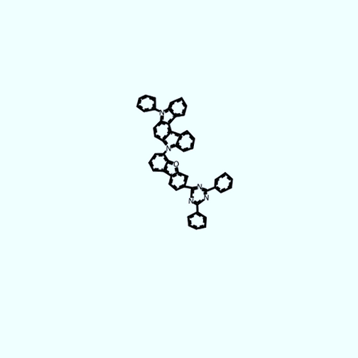 c1ccc(-c2nc(-c3ccccc3)nc(-c3ccc4c(c3)oc3c(-n5c6ccccc6c6c7c8ccccc8n(-c8ccccc8)c7ccc65)cccc34)n2)cc1